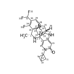 C[C@@H](NC(=O)c1cn(C23CC(C2)C3)c(=O)cc1N[C@H]1CN2CCC1CC2)c1cccc(C(F)F)c1F